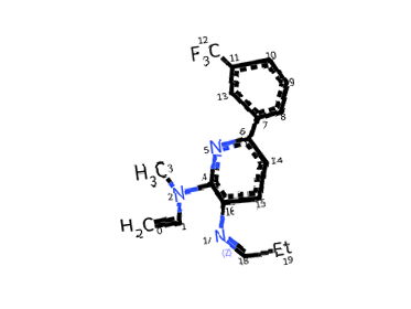 C=CN(C)c1nc(-c2cccc(C(F)(F)F)c2)ccc1/N=C\CC